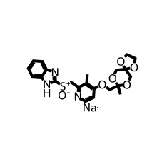 Cc1c(OCC2(C)OCC3(CO2)OCCO3)ccnc1C[S+]([O-])c1nc2ccccc2[nH]1.[Na]